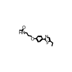 CCc1cnc(-c2ccc(OCCCNC(C)=O)cc2)s1